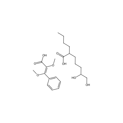 CCCCC(CCCC(O)CO)C(=O)O.COC(C(=O)O)=C(OC)c1ccccc1